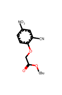 CC(C)(C)OC(=O)COc1ccc([N+](=O)[O-])cc1C#N